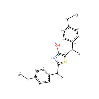 CC(C)Cc1ccc(C(C)c2nc(O)c(C(C)c3ccc(CC(C)C)cc3)s2)cc1